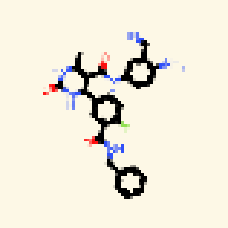 CC1=C(C(=O)Nc2ccc(N)c(C=N)c2)C(c2ccc(F)c(C(=O)NCc3ccccc3)c2)NC(=O)N1